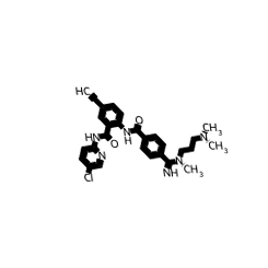 C#Cc1ccc(NC(=O)c2ccc(C(=N)N(C)CCCN(C)C)cc2)c(C(=O)Nc2ccc(Cl)cn2)c1